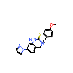 COc1ccc(CN(Cc2ccc(-n3cccn3)cc2)C(N)=S)cc1